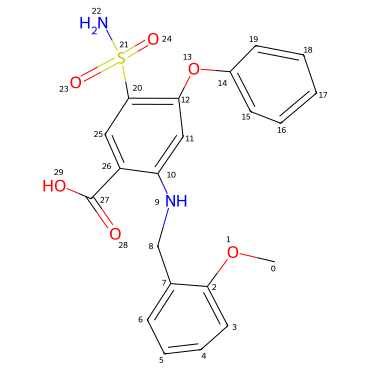 COc1ccccc1CNc1cc(Oc2ccccc2)c(S(N)(=O)=O)cc1C(=O)O